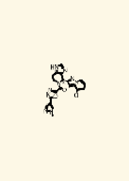 Cn1cc(-c2nnc(C(=O)N3CCc4[nH]cnc4[C@H]3c3cc4c(Cl)cccn4n3)o2)cn1